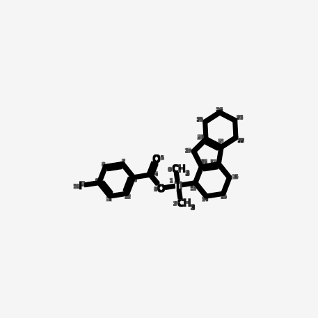 [CH3][Ti]([CH3])([O]C(=O)c1ccc(F)cc1)[CH]1CCCC2=C1CC1=C2CCCC1